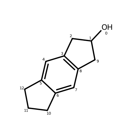 OC1Cc2cc3c(cc2C1)CCC3